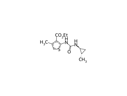 CCOC(=O)c1c(C)csc1NC(=O)N[C@H]1C[C@@H]1C